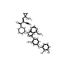 N#CC(=CC1(N)CC1)C(=O)N1CCC[C@@H](n2nc(-c3ccc(Oc4cccc(F)c4F)cc3F)c3c(N)ncnc32)C1